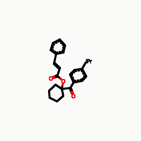 CC(C)c1ccc(C(=O)C2(OC(=O)C=Cc3ccccc3)CCCCC2)cc1